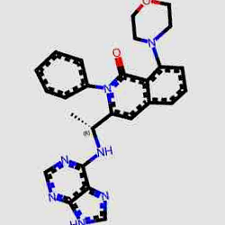 C[C@@H](Nc1ncnc2[nH]cnc12)c1cc2cccc(N3CCOCC3)c2c(=O)n1-c1ccccc1